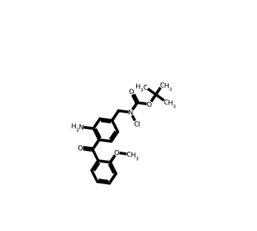 COc1ccccc1C(=O)c1ccc(CN(Cl)C(=O)OC(C)(C)C)cc1N